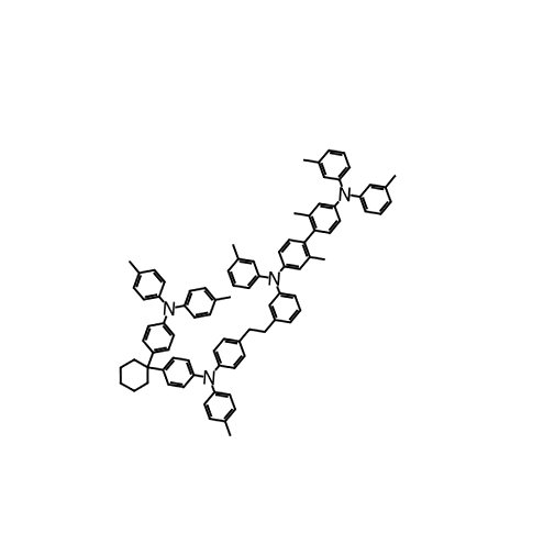 Cc1ccc(N(c2ccc(C)cc2)c2ccc(C3(c4ccc(N(c5ccc(C)cc5)c5ccc(CCc6cccc(N(c7cccc(C)c7)c7ccc(-c8ccc(N(c9cccc(C)c9)c9cccc(C)c9)cc8C)c(C)c7)c6)cc5)cc4)CCCCC3)cc2)cc1